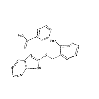 O=C(O)c1ccccc1.Oc1ccccc1CSc1nc2cnccc2[nH]1